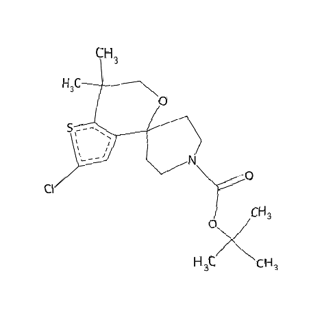 CC(C)(C)OC(=O)N1CCC2(CC1)OCC(C)(C)c1sc(Cl)cc12